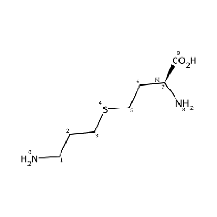 NCCCSCC[C@H](N)C(=O)O